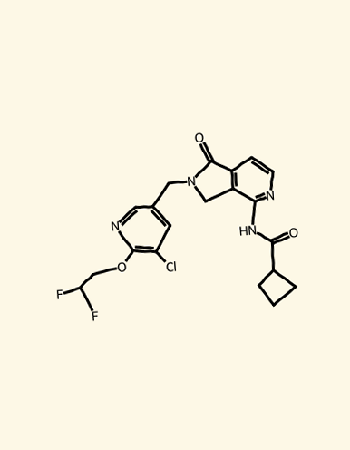 O=C(Nc1nccc2c1CN(Cc1cnc(OCC(F)F)c(Cl)c1)C2=O)C1CCC1